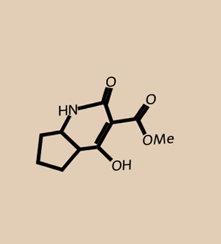 COC(=O)C1=C(O)C2CCCC2NC1=O